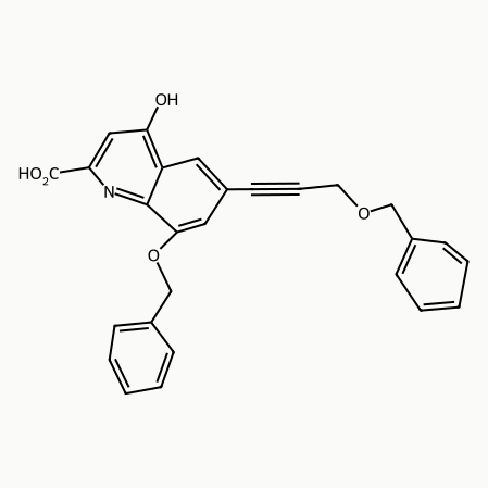 O=C(O)c1cc(O)c2cc(C#CCOCc3ccccc3)cc(OCc3ccccc3)c2n1